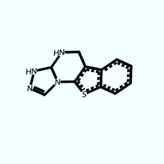 C1=NNC2NCc3c(sc4ccccc34)N12